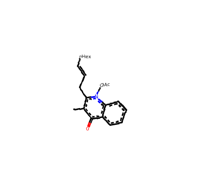 CCCCCC/C=C/Cc1c(C)c(=O)c2ccccc2n1OC(C)=O